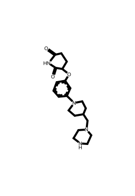 O=C1CCC(Oc2cccc(N3CCC(CN4CCNCC4)CC3)c2)C(=O)N1